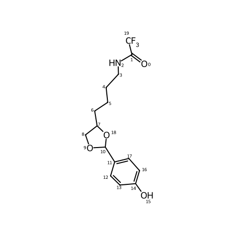 O=C(NCCCCC1COC(c2ccc(O)cc2)O1)C(F)(F)F